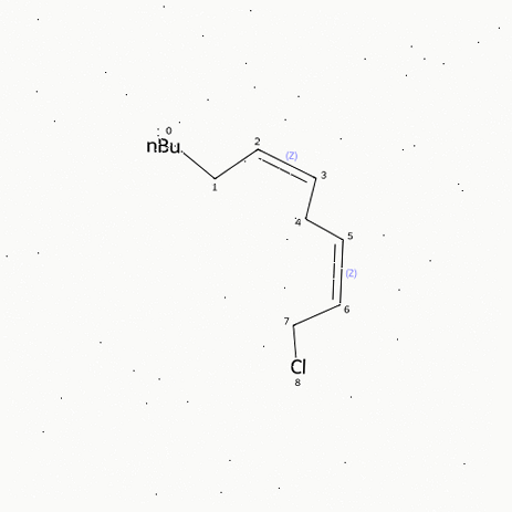 CCCCC/C=C\C/C=C\CCl